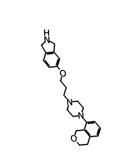 c1cc2c(c(N3CCN(CCCOc4ccc5c(c4)CNC5)CC3)c1)COCC2